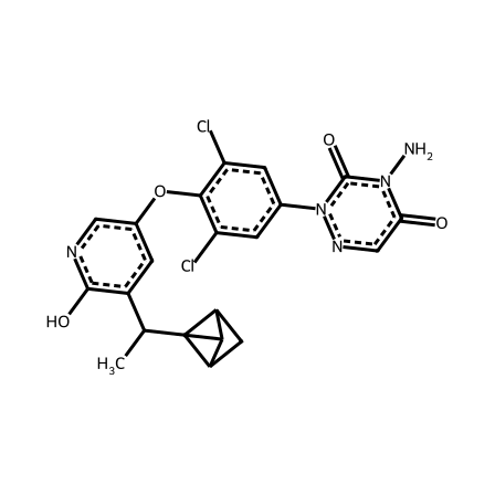 CC(c1cc(Oc2c(Cl)cc(-n3ncc(=O)n(N)c3=O)cc2Cl)cnc1O)C1C2CC1C2